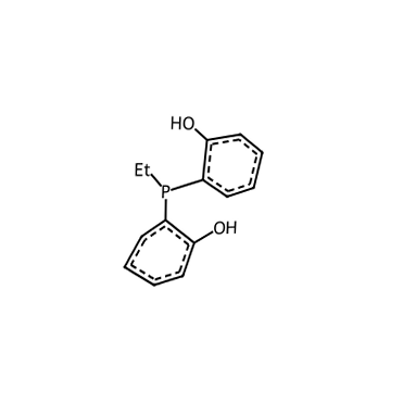 CCP(c1ccccc1O)c1ccccc1O